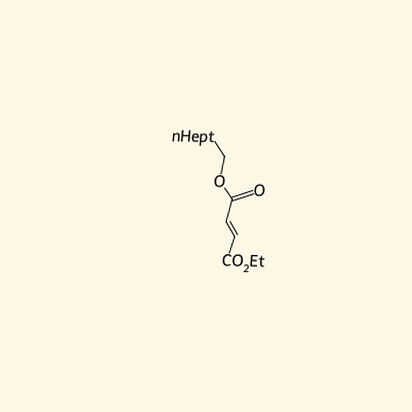 CCCCCCCCOC(=O)C=CC(=O)OCC